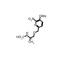 COc1ccc(COC[C@@H](C)NC(=O)O)nc1[N+](=O)[O-]